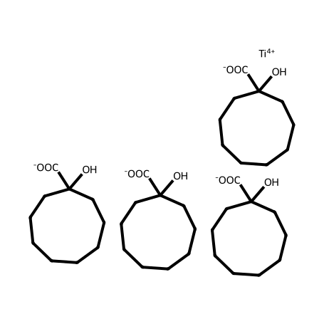 O=C([O-])C1(O)CCCCCCCC1.O=C([O-])C1(O)CCCCCCCC1.O=C([O-])C1(O)CCCCCCCC1.O=C([O-])C1(O)CCCCCCCC1.[Ti+4]